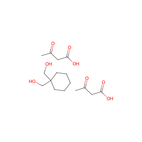 CC(=O)CC(=O)O.CC(=O)CC(=O)O.OCC1(CO)CCCCC1